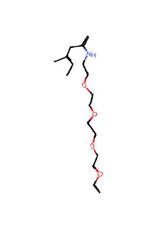 C=C(CC(C)CC)NCCOCCOCCOCCOCC